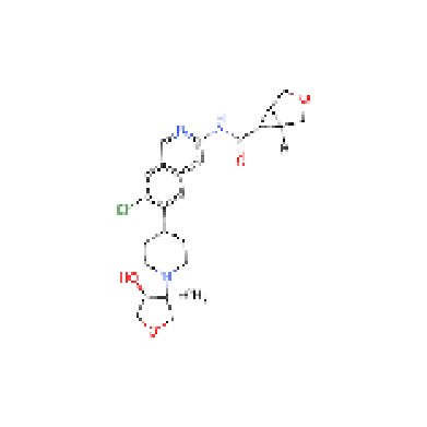 C[C@]1(N2CCC(c3cc4cc(NC(=O)C5C6COC[C@@H]65)ncc4cc3Cl)CC2)COC[C@H]1O